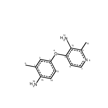 Cc1cc(Oc2ccnc(C)c2N)ccc1N